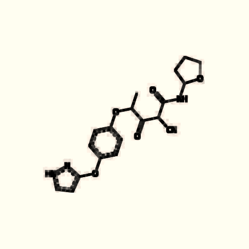 CC(Oc1ccc(Oc2cc[nH]n2)cc1)C(=O)C(C#N)C(=O)NC1CCCO1